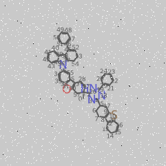 C[C@]1(C2N=C(C3CCc4c(sc5c4CCC=C5)C3)N=C(c3ccccc3)N2)C=Cc2c(oc3ccc(-n4c5c(c6ccccc64)C(c4ccccc4)=CCC5)cc23)C1